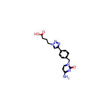 Nc1ccn(Cc2ccc(-c3cn(CCCC(=O)O)nn3)cc2)c(=O)n1